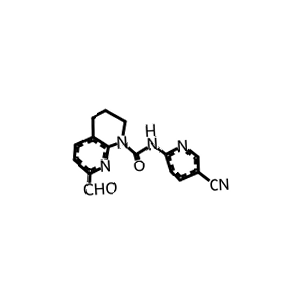 N#Cc1ccc(NC(=O)N2CCCc3ccc(C=O)nc32)nc1